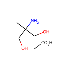 CC(=O)O.CC(N)(CO)CO